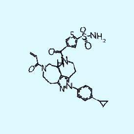 C=CC(=O)N1CCc2nn(-c3ccc(C4CC4)cc3)c3c2[C@@H](C1)N(C(=O)c1csc(S(N)(=O)=O)c1)CC3